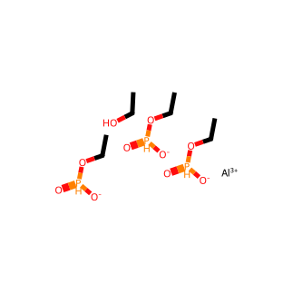 CCO.CCO[PH](=O)[O-].CCO[PH](=O)[O-].CCO[PH](=O)[O-].[Al+3]